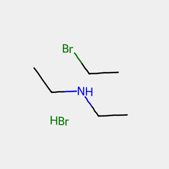 Br.CCBr.CCNCC